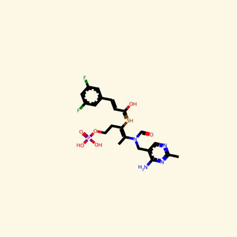 C/C(=C(CCOP(=O)(O)O)/[SH]=C(O)\C=C\c1cc(F)cc(F)c1)N(C=O)Cc1cnc(C)nc1N